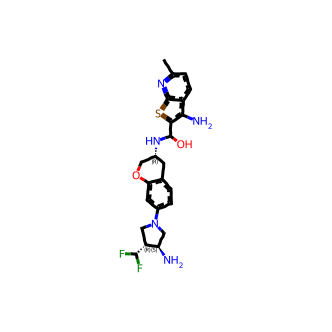 Cc1ccc2c(N)c(C(O)N[C@H]3COc4cc(N5C[C@@H](N)[C@H](C(F)F)C5)ccc4C3)sc2n1